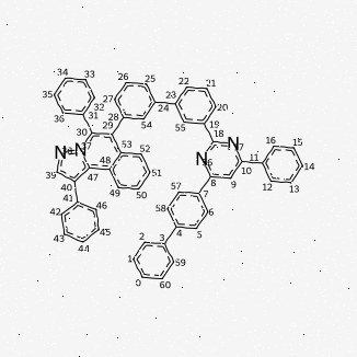 c1ccc(-c2ccc(-c3cc(-c4ccccc4)nc(-c4cccc(-c5cccc(-c6c(-c7ccccc7)n7ncc(-c8ccccc8)c7c7ccccc67)c5)c4)n3)cc2)cc1